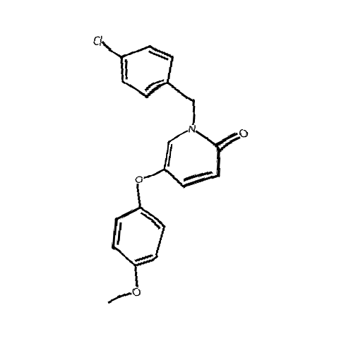 COc1ccc(Oc2ccc(=O)n(Cc3ccc(Cl)cc3)c2)cc1